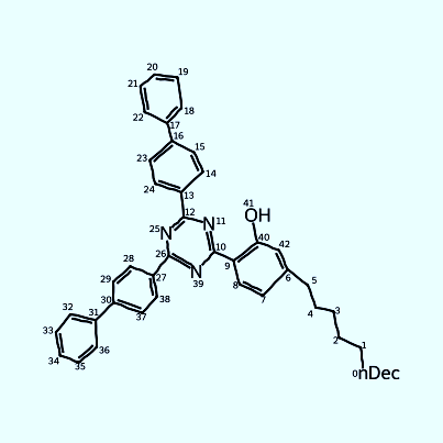 CCCCCCCCCCCCCCCc1ccc(-c2nc(-c3ccc(-c4ccccc4)cc3)nc(-c3ccc(-c4ccccc4)cc3)n2)c(O)c1